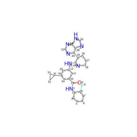 O=C(Nc1ccccc1F)c1cc(Nc2ncccc2-c2ncnc3[nH]cnc23)cc(C2CC2)c1